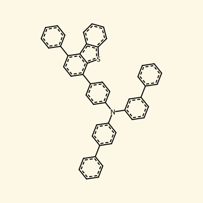 c1ccc(-c2ccc(N(c3ccc(-c4ccc(-c5ccccc5)c5c4sc4ccccc45)cc3)c3cccc(-c4ccccc4)c3)cc2)cc1